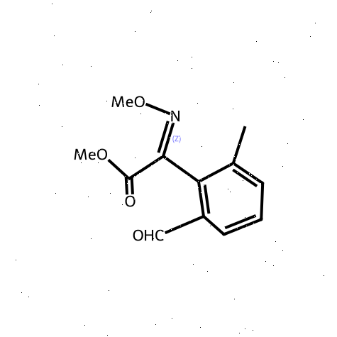 CO/N=C(\C(=O)OC)c1c(C)cccc1C=O